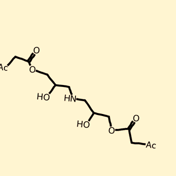 CC(=O)CC(=O)OCC(O)CNCC(O)COC(=O)CC(C)=O